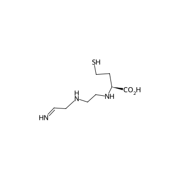 N=CCNCCN[C@@H](CCS)C(=O)O